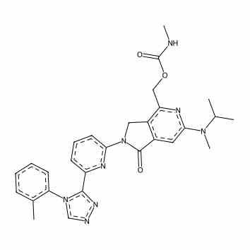 CNC(=O)OCc1nc(N(C)C(C)C)cc2c1CN(c1cccc(-c3nncn3-c3ccccc3C)n1)C2=O